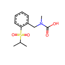 CC(C)S(=O)(=O)c1ccccc1CN(C)C(=O)O